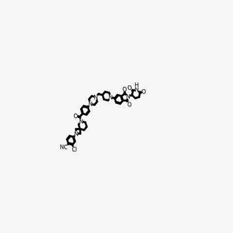 N#Cc1ccc(N2CC3(CCCN(C(=O)c4ccc(N5CCN(CC6CCN(c7ccc8c(c7)C(=O)N(C7CCC(=O)NC7=O)C8=O)CC6)CC5)cc4)C3)C2)cc1Cl